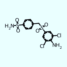 Nc1c(Cl)cc(S(=O)(=O)Cc2ccc(S(N)(=O)=O)cc2)cc1Cl